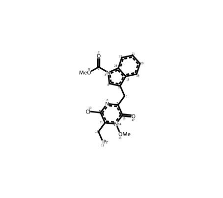 COC(=O)n1cc(Cc2nc(Cl)c(CC(C)C)n(OC)c2=O)c2ccccc21